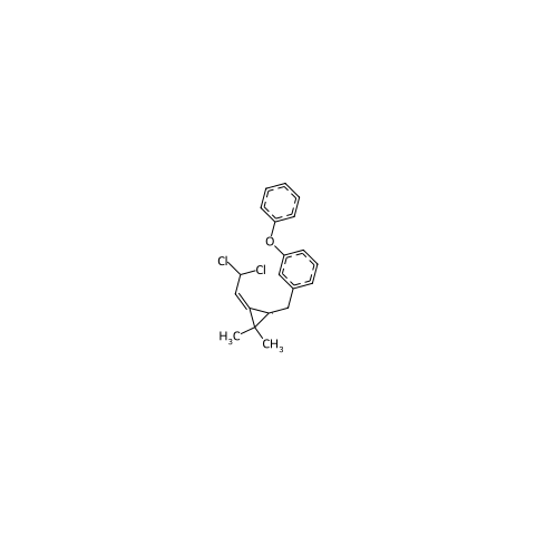 CC1(C)[C](Cc2cccc(Oc3ccccc3)c2)C1=CC(Cl)Cl